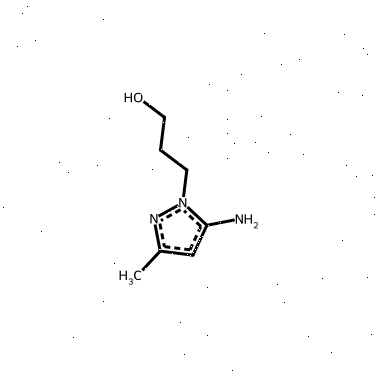 Cc1cc(N)n(CCCO)n1